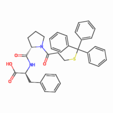 O=C(O)[C@H](Cc1ccccc1)NC(=O)[C@@H]1CCCN1C(=O)CCSC(c1ccccc1)(c1ccccc1)c1ccccc1